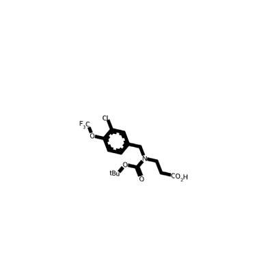 CC(C)(C)OC(=O)N(CCC(=O)O)Cc1ccc(OC(F)(F)F)c(Cl)c1